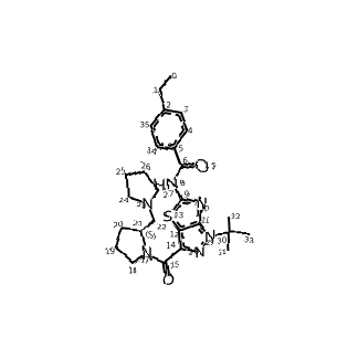 CCc1ccc(C(=O)Nc2nc3c(s2)c(C(=O)N2CCC[C@H]2CN2CCCC2)nn3C(C)(C)C)cc1